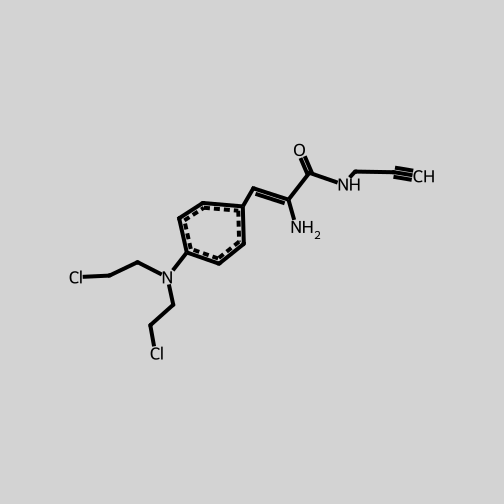 C#CCNC(=O)C(N)=Cc1ccc(N(CCCl)CCCl)cc1